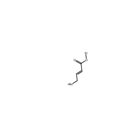 CCCCC/C=C/C(=O)OCC